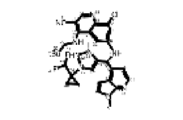 Cn1ccc2c([C@H](Nc3cc(Cl)c4ncc(C#N)c(NCC(C)(C)C)c4c3)C3=CN(C4(C(F)F)CC4)NN3)ccnc21